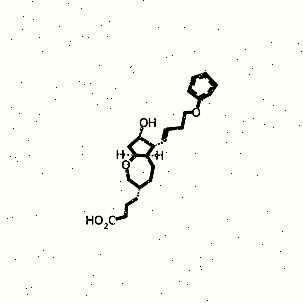 O=C(O)CCC[C@H]1CC[C@@H]2[C@@H](/C=C/CCOc3ccccc3)[C@H](O)C[C@@H]2OC1